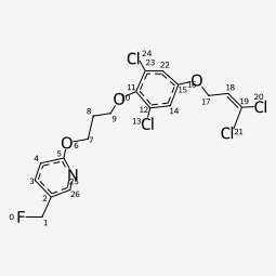 FCc1ccc(OCCCOc2c(Cl)cc(OCC=C(Cl)Cl)cc2Cl)nc1